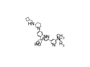 CN(C)c1cncc(-c2cn(C(CO)(CCl)c3ccc(N4CCC[C@@H](NCC5CCC5)C4)cc3)nn2)c1